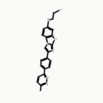 Cc1ccc(-c2ccc(-c3cn4c(n3)sc3cc(OCCF)ccc34)cc2)nn1